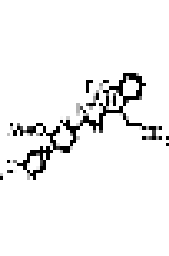 COc1nc(-c2n[nH]c(C(CCC(=O)O)c3ccccc3C(F)(F)F)n2)ccc1-n1cnc(C)c1